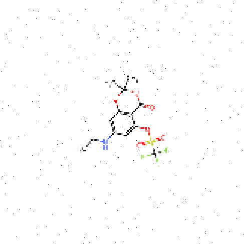 CCNc1cc2c(c(OS(=O)(=O)C(F)(F)F)c1)C(=O)OC(C)(C)O2